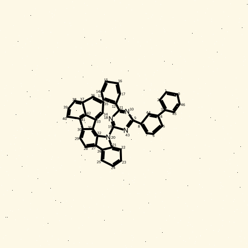 c1ccc(-c2cccc(-c3nc(-c4ccccc4)nc(-n4c5ccccc5c5ccc6c(c54)-c4cccc5cccc-6c45)n3)c2)cc1